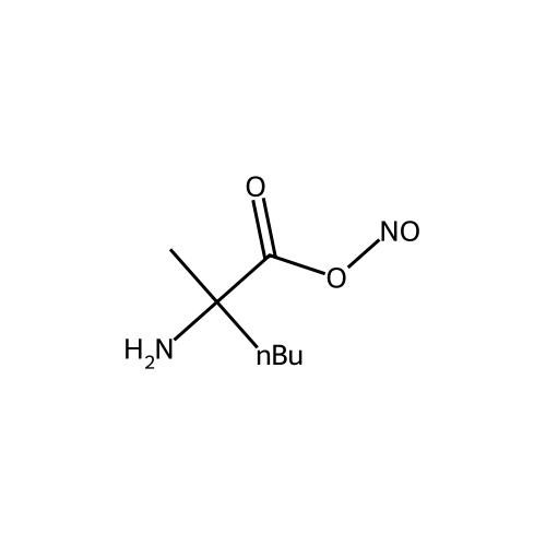 CCCCC(C)(N)C(=O)ON=O